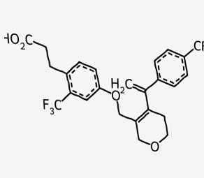 C=C(C1=C(COc2ccc(CCC(=O)O)c(C(F)(F)F)c2)COCC1)c1ccc(C(F)(F)F)cc1